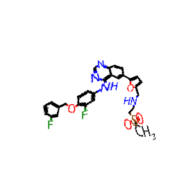 CS(=O)(=O)CCNCc1ccc(-c2ccc3ncnc(Nc4ccc(OCc5cccc(F)c5)c(F)c4)c3c2)o1